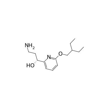 CCC(CC)COc1cccc([C@H](O)CCN)n1